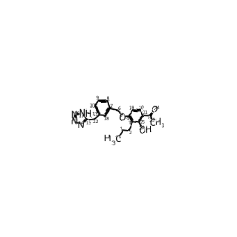 CCCc1c(OCc2cccc(Cc3nnn[nH]3)c2)ccc(C(C)=O)c1O